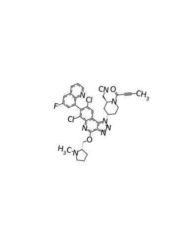 CC#CC(=O)N1CC[C@H](n2nnc3c(OC[C@@H]4CCCN4C)nc4c(Cl)c(-c5cc(F)cc6cccnc56)c(Cl)cc4c32)C[C@H]1CC#N